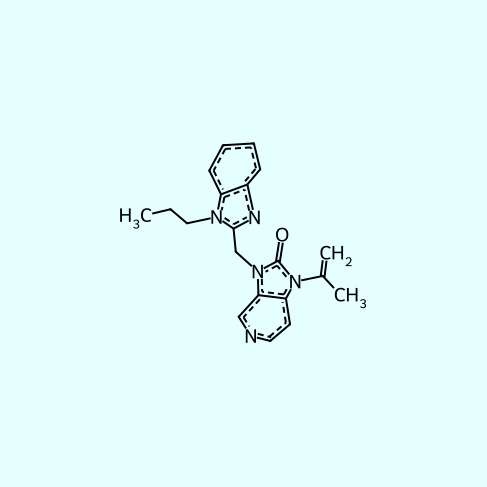 C=C(C)n1c(=O)n(Cc2nc3ccccc3n2CCC)c2cnccc21